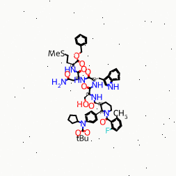 CSCC[C@H](NC(=O)[C@H](CC(N)=O)NC(=O)[C@H](Cc1c[nH]c2ccccc12)NC(=O)[C@H](CO)NC(=O)[C@H]1CCCN(C(=O)c2c(C)cccc2F)[C@H]1c1ccc(N(C(=O)OC(C)(C)C)C2CCCC2)cc1)C(=O)OCc1ccccc1